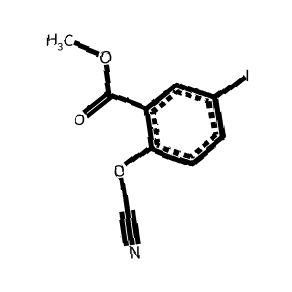 COC(=O)c1cc(I)ccc1OC#N